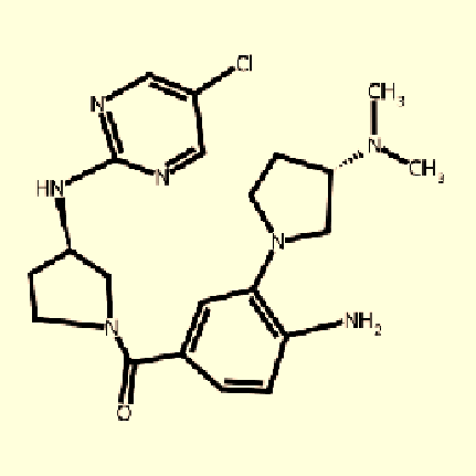 CN(C)[C@H]1CCN(c2cc(C(=O)N3CC[C@@H](Nc4ncc(Cl)cn4)C3)ccc2N)C1